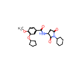 COc1ccc(C(=O)NC2CC(=O)N(C3CCCCC3)C2=O)cc1OC1CCCC1